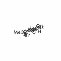 CCNC(=O)c1ccc(C(=O)OC[C@H]2C[C@@H](c3ccc(OC)c(OC(C)C)c3)CN2C(C)=O)nc1